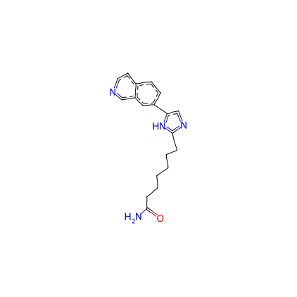 NC(=O)CCCCCCc1ncc(-c2ccc3ccncc3c2)[nH]1